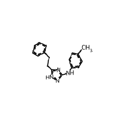 Cc1ccc(Nc2n[nH]c(CCc3ccccc3)n2)cc1